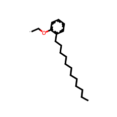 [CH2]COc1ccccc1CCCCCCCCCCCC